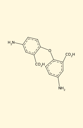 Nc1ccc(Oc2ccc(N)cc2C(=O)O)c(C(=O)O)c1